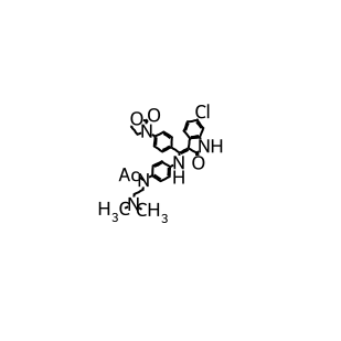 CC(=O)N(CCN(C)C)c1ccc(N/C(=C2\C(=O)Nc3cc(Cl)ccc32)c2ccc(N3CCOC3=O)cc2)cc1